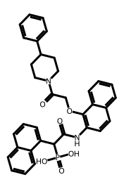 O=C(Nc1ccc2ccccc2c1OCC(=O)N1CCC(c2ccccc2)CC1)C(c1cccc2ccccc12)P(=O)(O)O